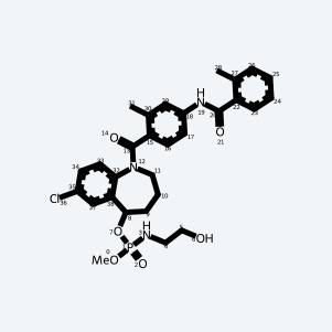 COP(=O)(NCCO)OC1CCCN(C(=O)c2ccc(NC(=O)c3ccccc3C)cc2C)c2ccc(Cl)cc21